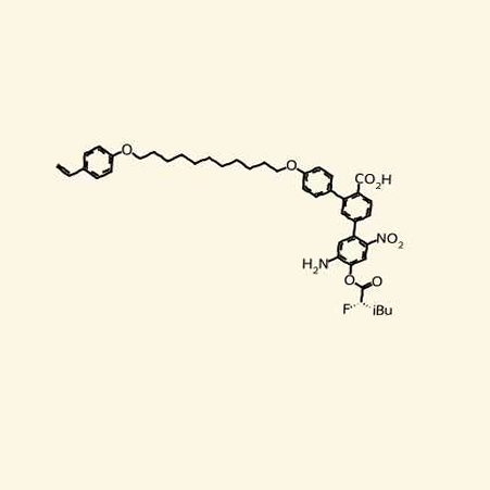 C=Cc1ccc(OCCCCCCCCCCCOc2ccc(-c3cc(-c4cc(N)c(OC(=O)[C@@H](F)[C@@H](C)CC)cc4[N+](=O)[O-])ccc3C(=O)O)cc2)cc1